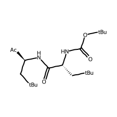 CC(=O)[C@H](CC(C)(C)C)NC(=O)[C@@H](CC(C)(C)C)NC(=O)OC(C)(C)C